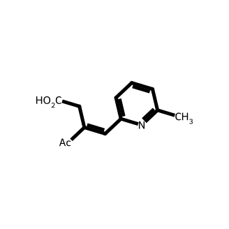 CC(=O)C(=Cc1cccc(C)n1)CC(=O)O